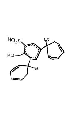 CCC1(c2cc(C(=O)O)c(O)c(C3(CC)C=CC=CC3)c2)C=CC=CC1